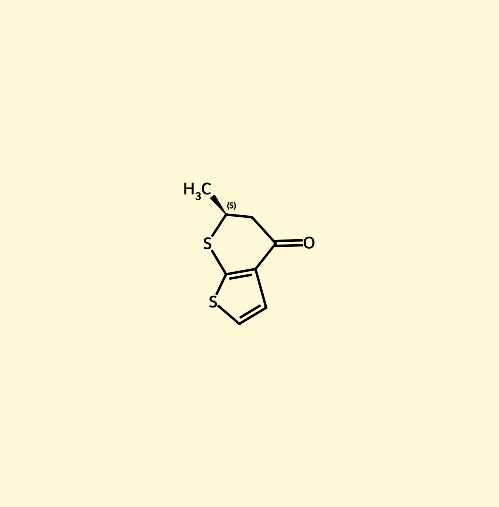 C[C@H]1CC(=O)c2ccsc2S1